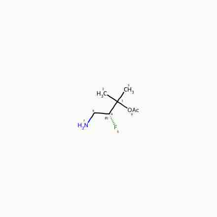 CC(=O)OC(C)(C)[C@H](F)CN